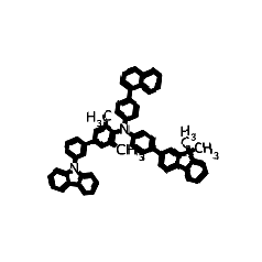 Cc1cc(-c2cccc(-n3c4ccccc4c4ccccc43)c2)cc(C)c1N(c1ccc(-c2ccc3c(c2)C(C)(C)c2ccccc2-3)cc1)c1ccc(-c2cccc3ccccc23)cc1